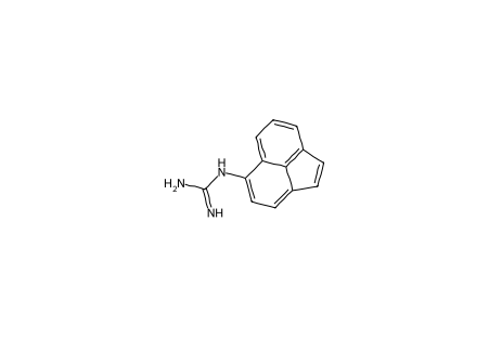 N=C(N)Nc1ccc2c3c(cccc13)C=C2